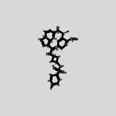 COc1ncccc1[C@@H](C)Nc1ccn2ncc(C(=O)NC3CC(OS(=O)(=O)c4ccc(C)cc4)C3)c2n1